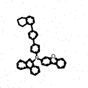 c1cc2c(c(-c3ccc(-c4ccc(N(c5ccc6c(c5)oc5ccccc56)c5cc6ccccc6c6ccccc56)cc4)cc3)c1)CCCC2